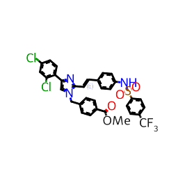 COC(=O)c1ccc(Cn2cc(-c3ccc(Cl)cc3Cl)nc2/C=C/c2ccc(NS(=O)(=O)c3ccc(C(F)(F)F)cc3)cc2)cc1